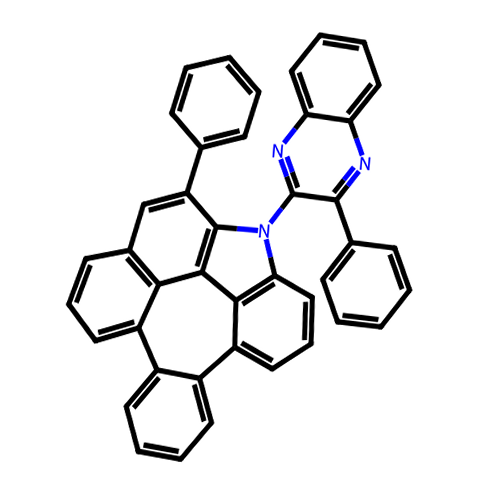 c1ccc(-c2nc3ccccc3nc2-n2c3cccc4c3c3c5c(cccc5cc(-c5ccccc5)c32)-c2ccccc2-4)cc1